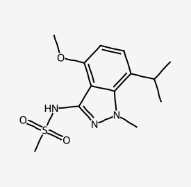 COc1ccc(C(C)C)c2c1c(NS(C)(=O)=O)nn2C